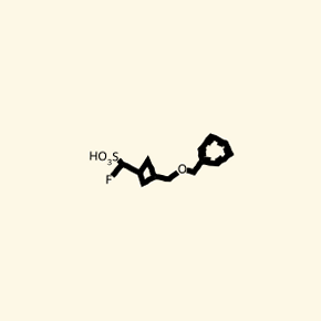 O=S(=O)(O)C(F)C1CC(COCc2ccccc2)C1